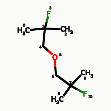 CC(C)(F)COCC(C)(C)F